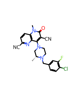 C[C@@H]1CN(c2c(C#N)c(=O)n(C)c3ccc(C#N)nc23)CCN1Cc1ccc(Cl)c(F)c1